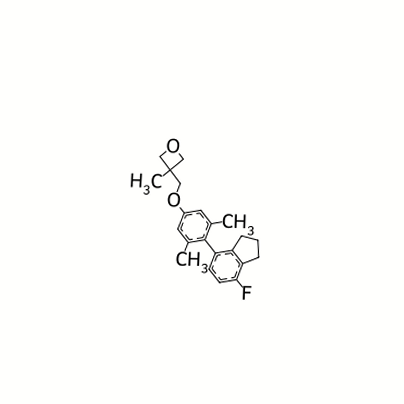 Cc1cc(OCC2(C)COC2)cc(C)c1-c1ccc(F)c2c1CCC2